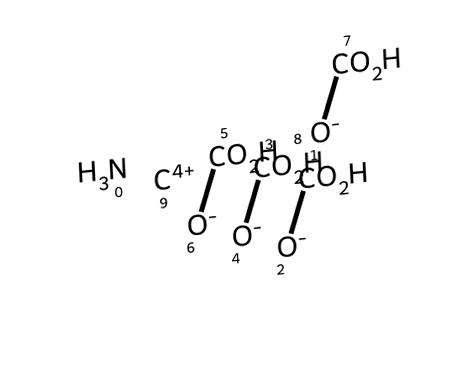 N.O=C([O-])O.O=C([O-])O.O=C([O-])O.O=C([O-])O.[C+4]